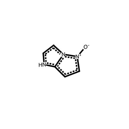 [O-][n+]1ccc2[nH]ccn21